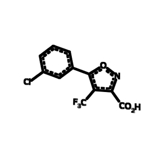 O=C(O)c1noc(-c2cccc(Cl)c2)c1C(F)(F)F